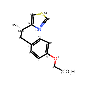 C[C@@H](Cc1ccc(OCC(=O)O)cc1)c1cscn1